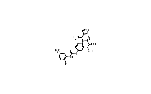 NC1c2ccoc2N=C(C(O)CO)N1c1ccc(NC(=O)Nc2cc(C(F)(F)F)ccc2F)cc1